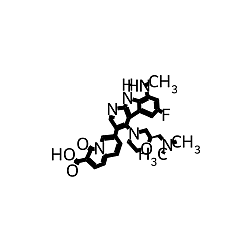 CNc1cc(F)cc2c1[nH]c1ncc(-c3ccc4ccc(C(=O)O)c(=O)n4c3)c(N3CCO[C@H](CN(C)C)C3)c12